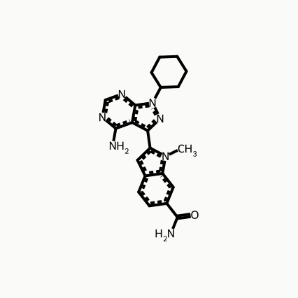 Cn1c(-c2nn(C3CCCCC3)c3ncnc(N)c23)cc2ccc(C(N)=O)cc21